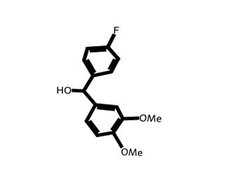 COc1ccc(C(O)c2ccc(F)cc2)cc1OC